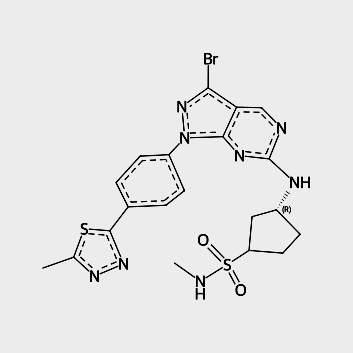 CNS(=O)(=O)C1CC[C@@H](Nc2ncc3c(Br)nn(-c4ccc(-c5nnc(C)s5)cc4)c3n2)C1